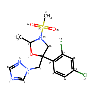 CC1OC(Cn2cncn2)(c2ccc(Cl)cc2Cl)CN1S(C)(=O)=O